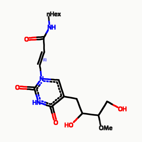 CCCCCCNC(=O)/C=C/n1cc(CC(O)C(CO)OC)c(=O)[nH]c1=O